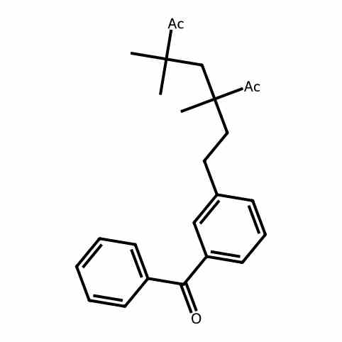 CC(=O)C(C)(C)CC(C)(CCc1cccc(C(=O)c2ccccc2)c1)C(C)=O